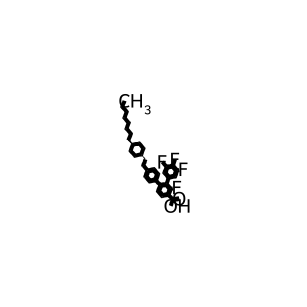 CCCCCCCC[C@H]1CC[C@H](CCc2ccc(-c3ccc(C(=O)O)c(F)c3-c3cc(F)c(F)c(F)c3)cc2)CC1